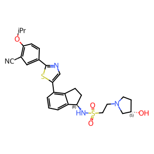 CC(C)Oc1ccc(-c2ncc(-c3cccc4c3CC[C@H]4NS(=O)(=O)CCN3CC[C@H](O)C3)s2)cc1C#N